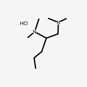 CCCC(CN(C)C)N(C)C.Cl